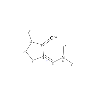 CC1CC/C(=C/N(C)C)C1=O